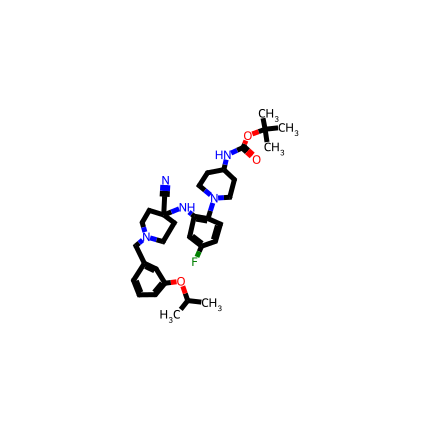 CC(C)Oc1cccc(CN2CCC(C#N)(Nc3cc(F)ccc3N3CCC(NC(=O)OC(C)(C)C)CC3)CC2)c1